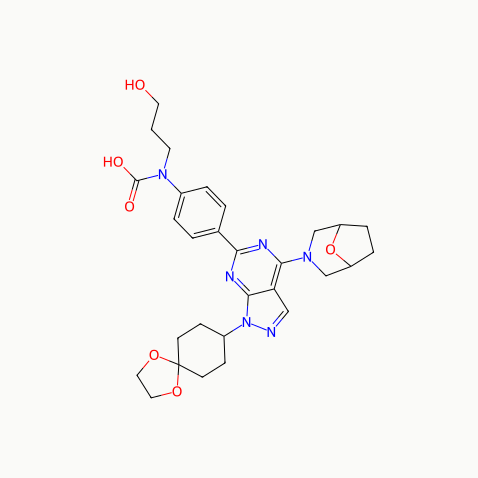 O=C(O)N(CCCO)c1ccc(-c2nc(N3CC4CCC(C3)O4)c3cnn(C4CCC5(CC4)OCCO5)c3n2)cc1